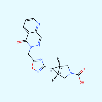 O=C(O)N1C[C@@H]2[C@H](C1)[C@@H]2c1noc(Cn2ncc3ncccc3c2=O)n1